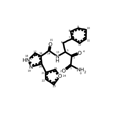 NC(=O)C(=O)C(Cc1ccccc1)NC(=O)c1c[nH]nc1-c1ccoc1